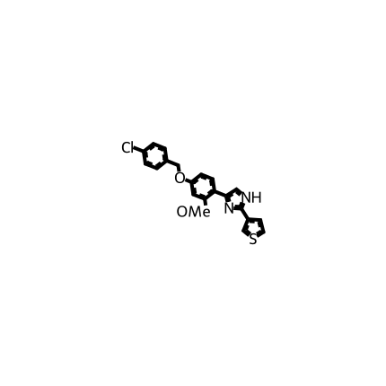 COc1cc(OCc2ccc(Cl)cc2)ccc1-c1c[nH]c(-c2ccsc2)n1